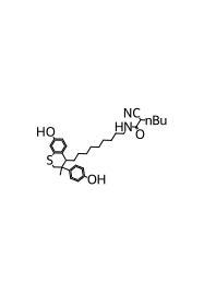 CCCCC(C#N)C(=O)NCCCCCCCCCC1c2ccc(O)cc2SCC1(C)c1ccc(O)cc1